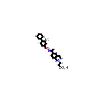 CCc1cc(CON=C(C)c2ccc3c(c2)CCN(CCC(=O)O)C3)ccc1C1CCCCC1